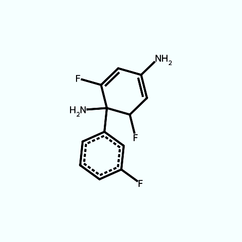 NC1=CC(F)C(N)(c2cccc(F)c2)C(F)=C1